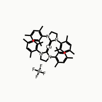 Cc1cc(C)c(N2CCN(c3c(C)cc(C)cc3C)[C]2=[Cu]=[C]2N(c3c(C)cc(C)cc3C)CCN2c2c(C)cc(C)cc2C)c(C)c1.F[B-](F)(F)F